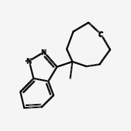 CC1(C2=N[N]c3ccccc32)CCCCCCC1